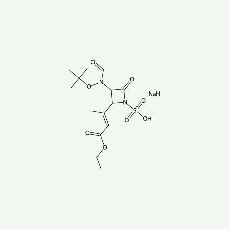 CCOC(=O)C=C(C)C1C(N(C=O)OC(C)(C)C)C(=O)N1S(=O)(=O)O.[NaH]